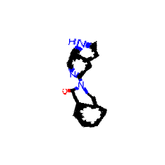 O=C1c2ccccc2CN1c1cc2cc[nH]c2cn1